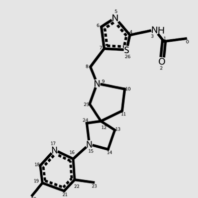 CC(=O)Nc1ncc(CN2CCC3(CCN(c4ncc(C)cc4C)C3)C2)s1